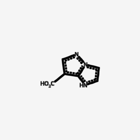 O=C(O)c1cnn2cc[nH]c12